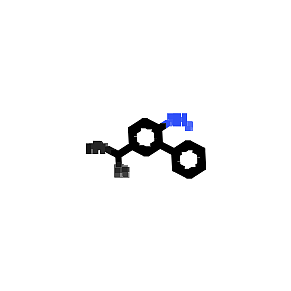 CCCC(CC)c1ccc(N)c(-c2ccccc2)c1